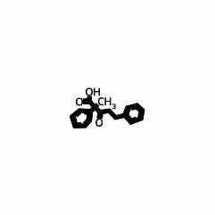 CC(C(=O)O)(C(=O)CCc1ccccc1)c1ccccc1